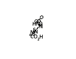 O=C(Nc1ocnc1C#Cc1nc2sc(C3(C(=O)O)CC3)nc2s1)OCc1ccccc1